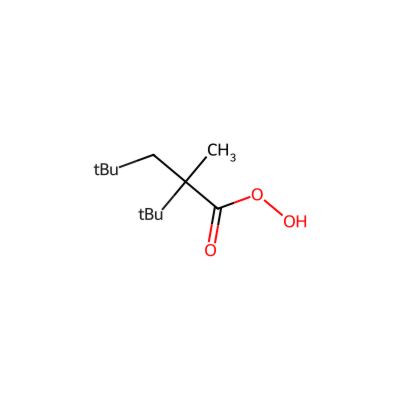 CC(C)(C)CC(C)(C(=O)OO)C(C)(C)C